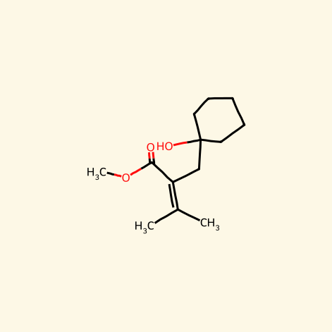 COC(=O)C(CC1(O)CCCCC1)=C(C)C